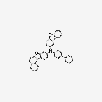 c1ccc(-c2ccc(N(c3ccc4c(c3)oc3ccc5ccccc5c34)c3ccc4oc5ccccc5c4c3)cc2)cc1